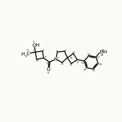 CC1(O)CC(C(=O)N2CCC3(CC(c4cccc(C(C)(C)C)c4)C3)C2)C1